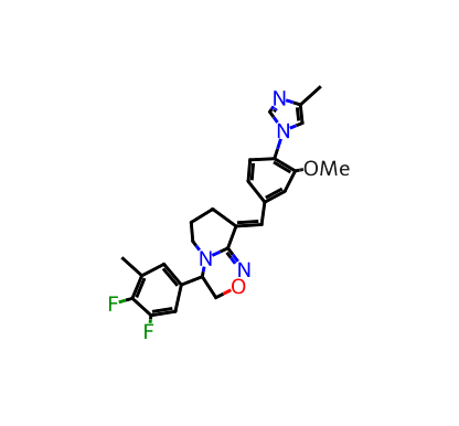 COc1cc(/C=C2\CCCN3C2=NOCC3c2cc(C)c(F)c(F)c2)ccc1-n1cnc(C)c1